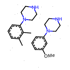 COc1cccc(N2CCNCC2)c1.Cc1cccc(N2CCNCC2)c1C